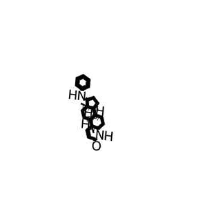 C[C@]12C=CC(=O)NC1CC[C@@H]1[C@H]2CC[C@]2(C)C(Nc3ccccc3)CC[C@@H]12